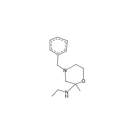 CCNC1(C)CN(Cc2ccccc2)CCO1